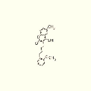 COc1ccccc1CCCCc1c(O)c2cc(C)ccc2oc1=O